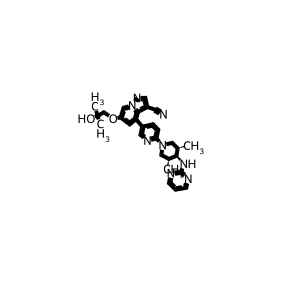 C[C@@H]1CN(c2ccc(-c3cc(OCC(C)(C)O)cn4ncc(C#N)c34)cn2)C[C@H](C)[C@H]1Nc1ncccn1